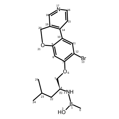 CB(O)N[C@H](COc1cc2c(cc1Br)-c1ccncc1CO2)CC(C)C